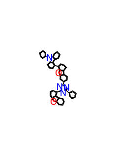 c1ccc(-c2nc(-c3ccc4c(c3)oc3c(-c5cccc6c5c5ccccc5n6-c5ccccc5)cccc34)nc(-c3cccc4oc5ccccc5c34)n2)cc1